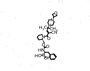 CC(C)(C=C(C#N)C(=O)N1CCCC[C@@H]1COC(=O)NC(Cc1ccccc1)B(O)O)N1CCN(C2COC2)CC1